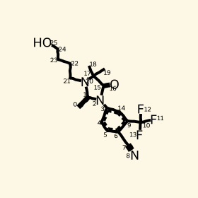 C=C1N(c2ccc(C#N)c(C(F)(F)F)c2)C(=O)C(C)(C)N1CCCCO